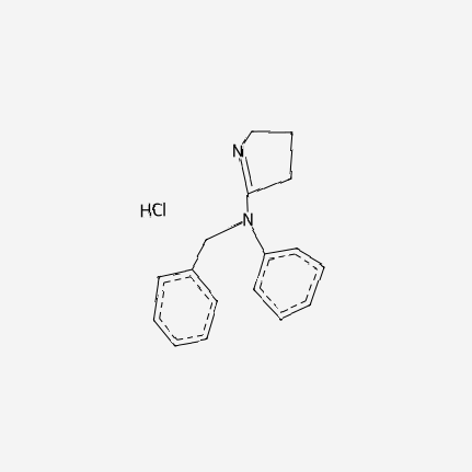 Cl.c1ccc(CN(C2=NCCC2)c2ccccc2)cc1